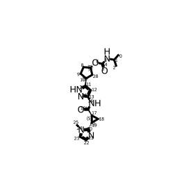 CC(C)NC(=O)O[C@@H]1CC[C@H](c2cc(NC(=O)[C@H]3C[C@@H]3c3nccn3C)n[nH]2)C1